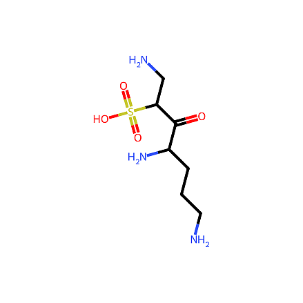 NCCCC(N)C(=O)C(CN)S(=O)(=O)O